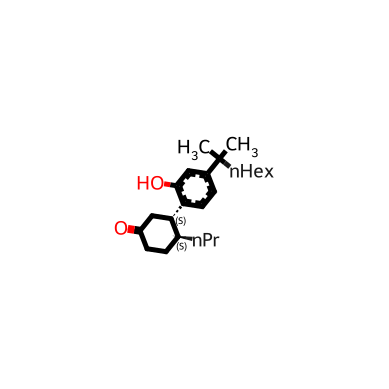 CCCCCCC(C)(C)c1ccc([C@H]2CC(=O)CC[C@@H]2CCC)c(O)c1